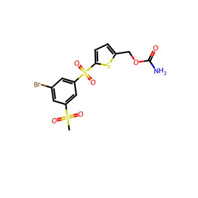 CS(=O)(=O)c1cc(Br)cc(S(=O)(=O)c2ccc(COC(N)=O)s2)c1